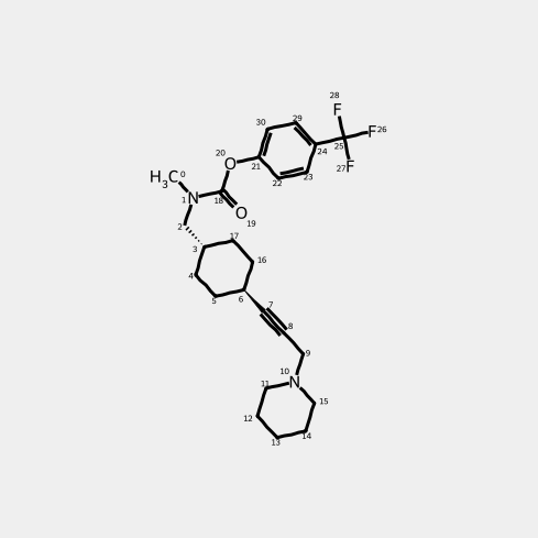 CN(C[C@H]1CC[C@H](C#CCN2CCCCC2)CC1)C(=O)Oc1ccc(C(F)(F)F)cc1